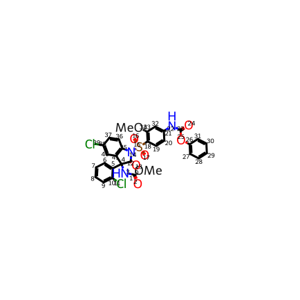 COC(=O)NC1(c2ccccc2Cl)C(=O)N(S(=O)(=O)c2ccc(NC(=O)Oc3ccccc3)cc2OC)c2ccc(Cl)cc21